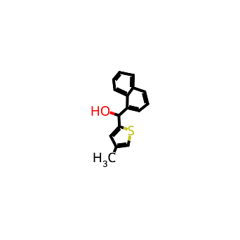 Cc1csc(C(O)c2cccc3ccccc23)c1